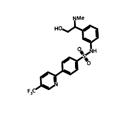 CNC(CO)c1cccc(NS(=O)(=O)c2ccc(-c3ccc(C(F)(F)F)cn3)cc2)c1